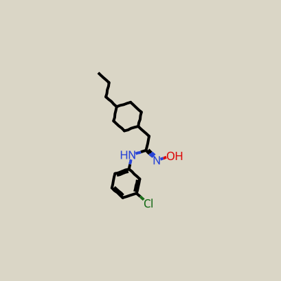 CCCC1CCC(C/C(=N\O)Nc2cccc(Cl)c2)CC1